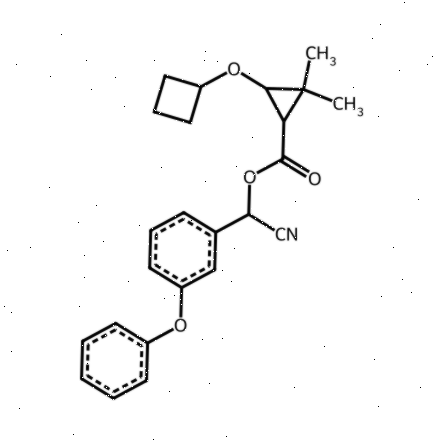 CC1(C)C(OC2CCC2)C1C(=O)OC(C#N)c1cccc(Oc2ccccc2)c1